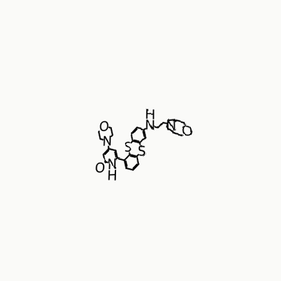 O=c1cc(N2CCOCC2)cc(-c2cccc3c2Sc2ccc(NCCN4C5CCC4COC5)cc2S3)[nH]1